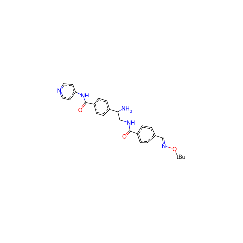 CC(C)(C)ON=Cc1ccc(C(=O)NCC(N)c2ccc(C(=O)Nc3ccncc3)cc2)cc1